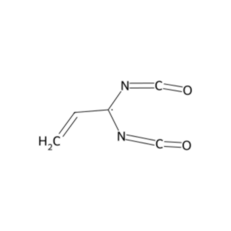 C=C[C](N=C=O)N=C=O